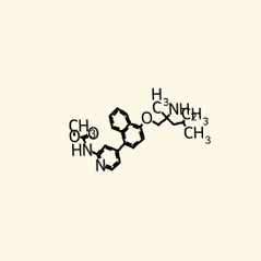 COC(=O)Nc1cc(-c2ccc(OCC(C)(N)CC(C)C)c3ccccc23)ccn1